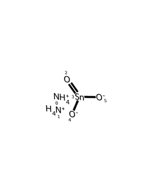 [NH4+].[NH4+].[O]=[Sn]([O-])[O-]